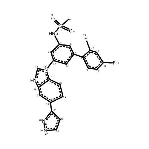 CS(=O)(=O)Nc1cc(-c2ccc(F)cc2F)cc(-n2cnc3cc(-c4cc[nH]n4)ccc32)c1